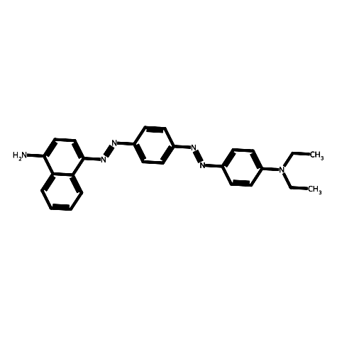 CCN(CC)c1ccc(N=Nc2ccc(N=Nc3ccc(N)c4ccccc34)cc2)cc1